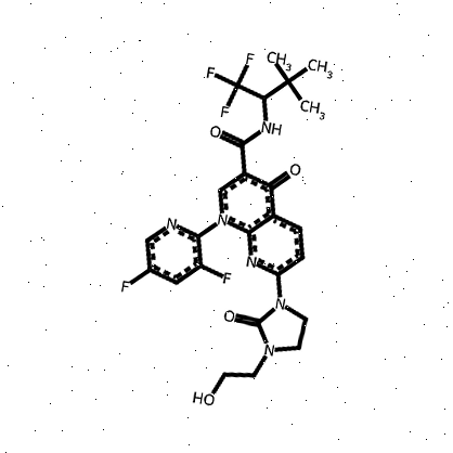 CC(C)(C)C(NC(=O)c1cn(-c2ncc(F)cc2F)c2nc(N3CCN(CCO)C3=O)ccc2c1=O)C(F)(F)F